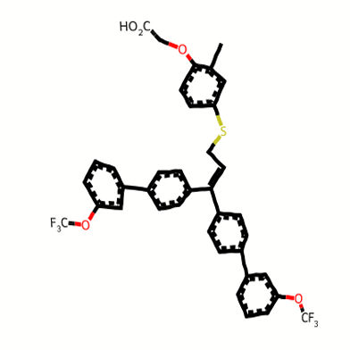 Cc1cc(SCC=C(c2ccc(-c3cccc(OC(F)(F)F)c3)cc2)c2ccc(-c3cccc(OC(F)(F)F)c3)cc2)ccc1OCC(=O)O